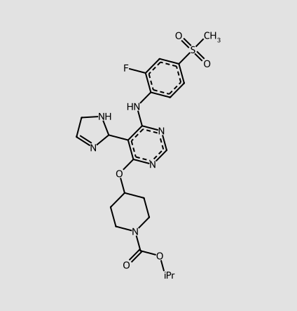 CC(C)OC(=O)N1CCC(Oc2ncnc(Nc3ccc(S(C)(=O)=O)cc3F)c2C2N=CCN2)CC1